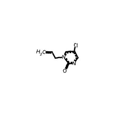 C=CCn1cc(Cl)cnc1=O